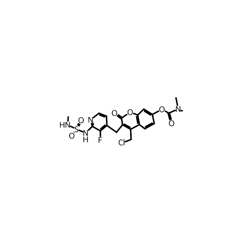 CNS(=O)(=O)Nc1nccc(Cc2c(CCl)c3ccc(OC(=O)N(C)C)cc3oc2=O)c1F